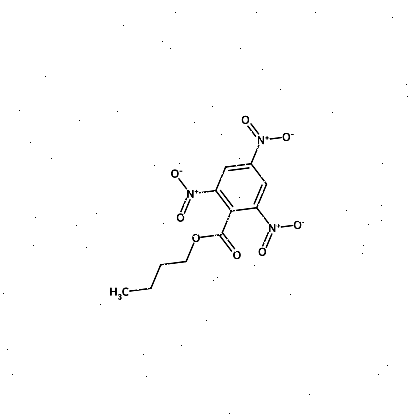 CCCCOC(=O)c1c([N+](=O)[O-])cc([N+](=O)[O-])cc1[N+](=O)[O-]